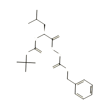 CC(C)C[C@H](NC(=O)OC(C)(C)C)C(=O)NNC(=O)OCc1ccccc1